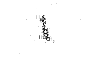 C=CC(=O)OCCOc1ccc(C[C](C)O)cc1